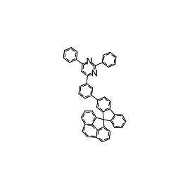 c1ccc(-c2cc(-c3cccc(-c4ccc5c(c4)C4(c6ccccc6-5)c5cccc6ccc7cccc4c7c56)c3)nc(-c3ccccc3)n2)cc1